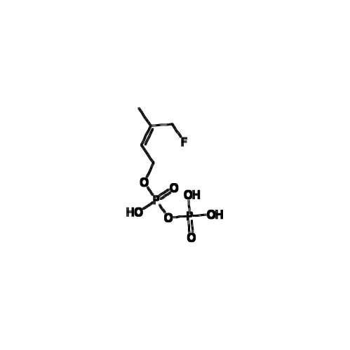 CC(=CCOP(=O)(O)OP(=O)(O)O)CF